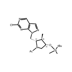 CC(=O)N1C[C@@H](O[Si](C)(C)C(C)(C)C)[C@H](C)[C@H]1Cn1ncc2cnc(Cl)nc21